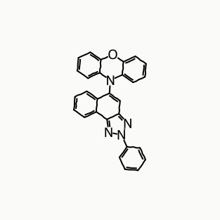 c1ccc(-n2nc3cc(N4c5ccccc5Oc5ccccc54)c4ccccc4c3n2)cc1